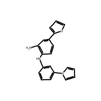 Nc1cc(-c2ccco2)ccc1Nc1cccc(-n2cccc2)c1